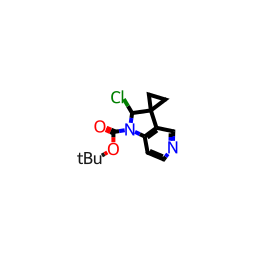 CC(C)(C)OC(=O)N1c2ccncc2C2(CC2)C1Cl